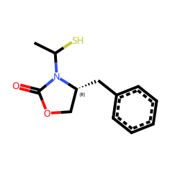 CC(S)N1C(=O)OC[C@H]1Cc1ccccc1